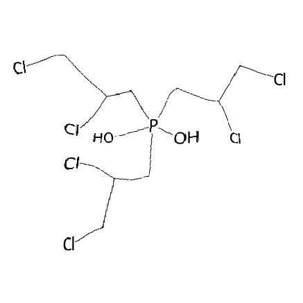 OP(O)(CC(Cl)CCl)(CC(Cl)CCl)CC(Cl)CCl